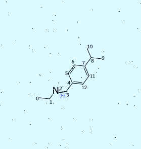 CC/N=C/c1ccc(C(C)C)cc1